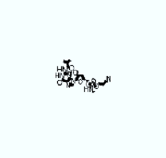 CNP(=O)(OCCC#N)OC[C@@H]1C[C@@H](O)[C@H](n2cnc3c(=O)[nH]c(NC(=O)C(C)C)nc32)O1